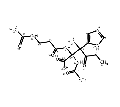 CCC(=O)C(N)(c1cnc[nH]1)[C@](NC(C)=O)(NC(=O)CCNC(C)=O)C(=O)S